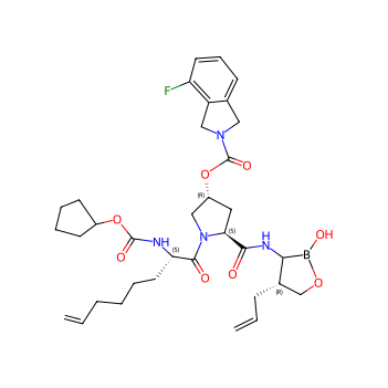 C=CCCCC[C@H](NC(=O)OC1CCCC1)C(=O)N1C[C@H](OC(=O)N2Cc3cccc(F)c3C2)C[C@H]1C(=O)NC1B(O)OC[C@@H]1CC=C